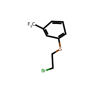 FC(F)(F)c1cccc(SCCBr)c1